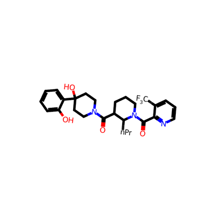 CCCC1C(C(=O)N2CCC(O)(c3ccccc3O)CC2)CCCN1C(=O)c1ncccc1C(F)(F)F